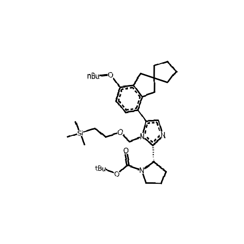 CCCCOc1ccc(-c2cnc([C@@H]3CCCN3C(=O)OC(C)(C)C)n2COCC[Si](C)(C)C)c2c1CC1(CCCC1)C2